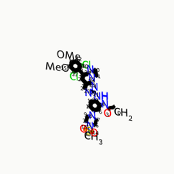 C=CC(=O)Nc1cc(N2CCN(S(C)(=O)=O)CC2)ccc1Nc1ncc2cc(-c3c(Cl)c(OC)cc(OC)c3Cl)c3nccn3c2n1